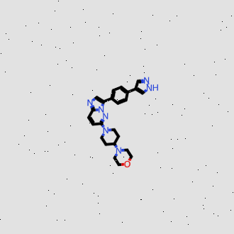 c1cc(-c2cnc3ccc(N4CCC(N5CCOCC5)CC4)nn23)ccc1-c1cn[nH]c1